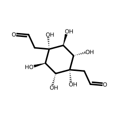 O=CC[C@@]1(O)[C@H](O)[C@@H](O)[C@@](O)(CC=O)[C@@H](O)[C@@H]1O